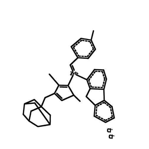 CC1=[C](/[Zr+2](=[CH]/c2ccc(C)cc2)[c]2cccc3c2Cc2ccccc2-3)C(C)C=C1CC12CC3CC(CC(C3)C1)C2.[Cl-].[Cl-]